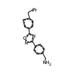 CC(C)Cc1ccc(-c2nc(-c3ccc(CN)cc3)no2)cc1